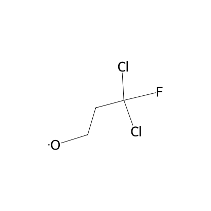 [O]CCC(F)(Cl)Cl